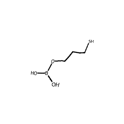 OB(O)OCCCS